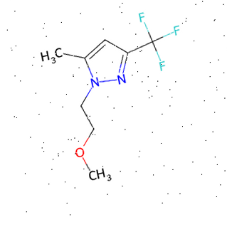 COCCn1nc(C(F)(F)F)cc1C